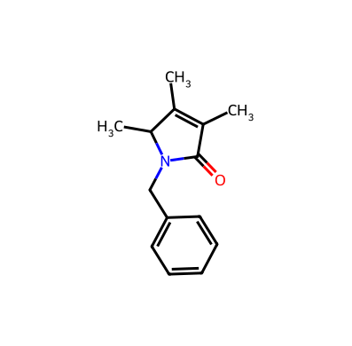 CC1=C(C)C(C)N(Cc2ccccc2)C1=O